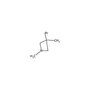 CC(C)C1(C)CN(C)C1